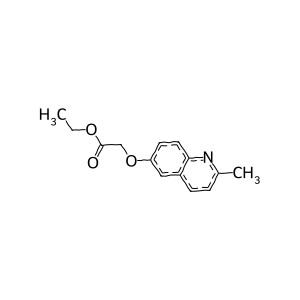 CCOC(=O)COc1ccc2nc(C)ccc2c1